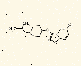 CC(C)CN1CCC(Oc2noc3ccc(Cl)cc23)CC1